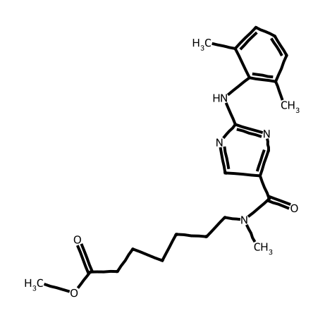 COC(=O)CCCCCCN(C)C(=O)c1cnc(Nc2c(C)cccc2C)nc1